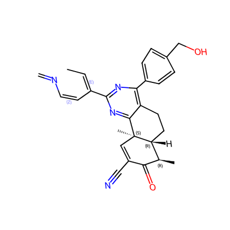 C=N/C=C\C(=C/C)c1nc(-c2ccc(CO)cc2)c2c(n1)[C@]1(C)C=C(C#N)C(=O)[C@H](C)[C@H]1CC2